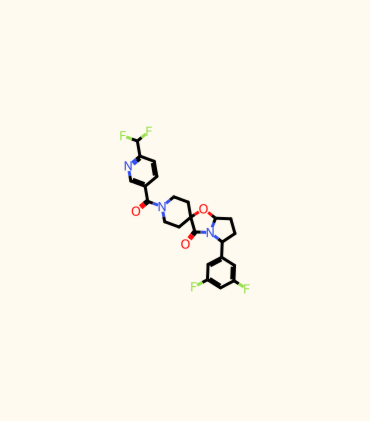 O=C(c1ccc(C(F)F)nc1)N1CCC2(CC1)OC1CCC(c3cc(F)cc(F)c3)N1C2=O